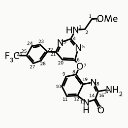 COCCNc1nc(Oc2cccc3[nH]c(=O)c(N)nc23)cc(-c2ccc(C(F)(F)F)cc2)n1